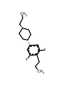 CCCc1c(F)cc([C@H]2CC[C@H](CCC)CC2)cc1F